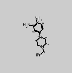 C[C](C)CN1CCN(c2ccc(N)c(N)c2)CC1